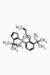 C=CCOc1c(C(C)(C)C)cccc1[Si](C)(C)C1=C(C(C)(C)C)C=CC1